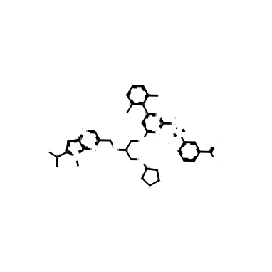 Cc1cccc(C)c1-c1cc(OCC(COC2CCCC2)NCc2cnc3cc(C(C)C)n(C)c3n2)nc(NS(=O)(=O)c2cccc(C(=O)O)c2)n1